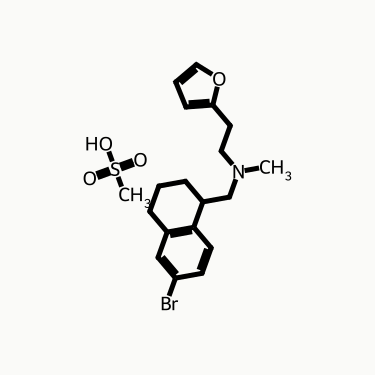 CN(CCc1ccco1)CC1CCCc2cc(Br)ccc21.CS(=O)(=O)O